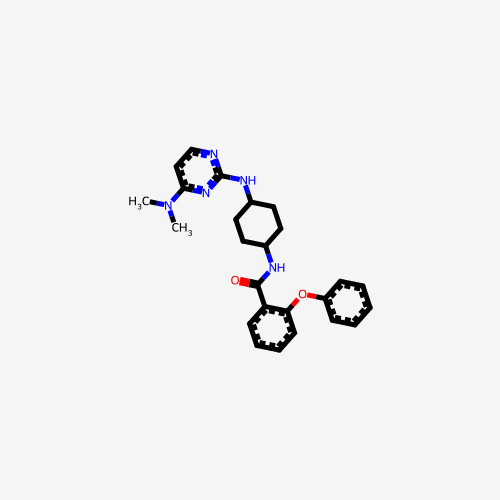 CN(C)c1ccnc(NC2CCC(NC(=O)c3ccccc3Oc3ccccc3)CC2)n1